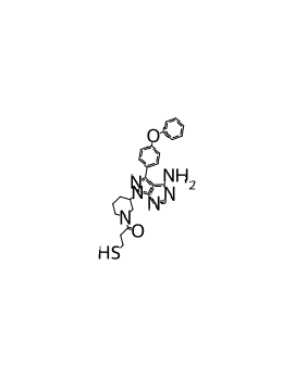 Nc1ncnc2c1c(-c1ccc(Oc3ccccc3)cc1)nn2[C@@H]1CCCN(C(=O)CCS)C1